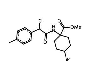 COC(=O)C1(NC(=O)C(Cl)c2ccc(C)cc2)CCC(C(C)C)CC1